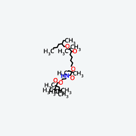 CCCCC(CC)COC(C)(C)C(=O)CCCCCOC(C)(CC)C(=O)NCCOC(=O)C(C)(CC(C)(C)C)C(C)C